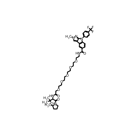 CC1CCCN1C(=O)C(NC(=O)COCCOCCOCCOCCOCCNC(=O)c1ccc2c(c1)c1cn(C)nc1n2-c1ccc(C(F)(F)F)cc1)C(C)(C)C